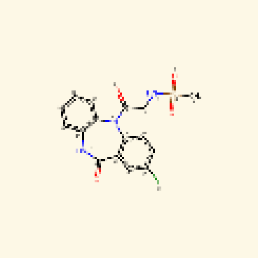 CS(=O)(=O)NCC(=O)N1c2ccccc2NC(=O)c2cc(F)ccc21